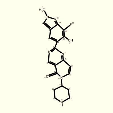 Cn1cc2cc(-c3ncc4c(=O)n(C5CCNCC5)ccc4n3)c(O)c(F)c2n1